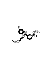 COCCCn1c(C2CCCN(C(=O)OC(C)(C)C)C2)nc2cc(F)ccc21